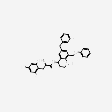 Cc1cc(O)cc(C)c1CC(N)C(=O)NC1CCNc2c(COc3ccccc3)cc(Cc3ccccc3)cc21